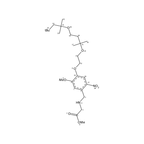 COC(=O)CNCc1cc(OC)c(OCCOC(C)(C)CCOC(C)(C)CC(C)(C)C)cc1[N+](=O)[O-]